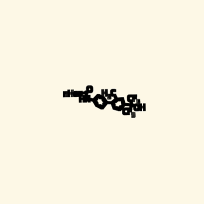 CCCCCCC(=O)Nc1ccc(-c2ccc(C(O)(C(F)(F)F)C(F)(F)F)cc2C)cc1